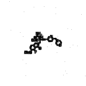 COc1ccc2c(c1F)C(=O)N(C[C@](C#Cc1ccc(CN3CCOCC3)nc1)(C=O)NC(N)=O)C2